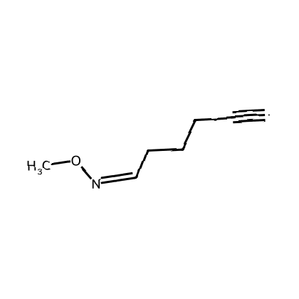 [C]#CCCC/C=N\OC